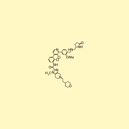 COc1cc(-c2nccc(-c3cccc(NC(=O)c4nc5c(n4C)CCN(CCC4CCOCC4)C5)c3Cl)c2Cl)ccc1CNCC1CCC(=O)N1